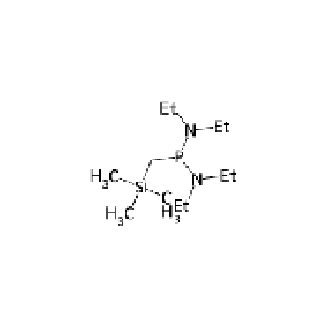 CCN(CC)P(C[Si](C)(C)C)N(CC)CC